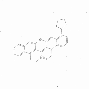 Cc1c2c(cc3ccccc13)Oc1cc3c(C4CCCC4)cccc3c3cc[n+](C)c-2c13